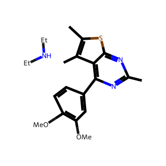 CCNCC.COc1ccc(-c2nc(C)nc3sc(C)c(C)c23)cc1OC